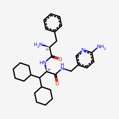 Nc1ccc(CNC(=O)[C@H](NC(=O)[C@@H](N)Cc2ccccc2)C(C2CCCCC2)C2CCCCC2)cn1